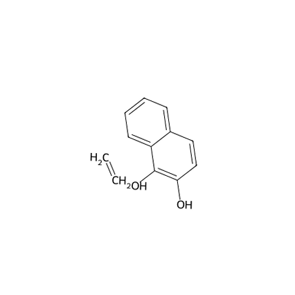 C=C.Oc1ccc2ccccc2c1O